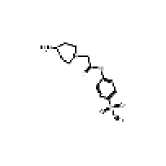 NC1CCN(CC(=O)Nc2ccc(S(N)(=O)=O)cc2)CC1